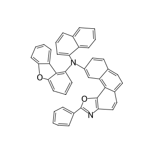 c1ccc(-c2nc3ccc4ccc5ccc(N(c6cccc7ccccc67)c6cccc7oc8ccccc8c67)cc5c4c3o2)cc1